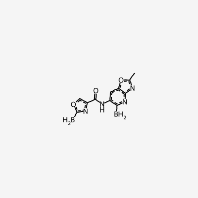 Bc1nc(C(=O)Nc2cc3oc(C)nc3nc2B)co1